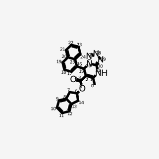 CC1=C(C(=O)OC2Cc3ccccc3C2)C(c2cccc3ccccc23)n2nnnc2N1